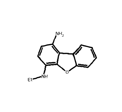 CCNc1ccc(N)c2c1oc1ccccc12